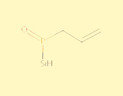 C=CC[P](=O)[SiH3]